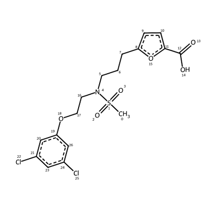 CS(=O)(=O)N(CCCc1ccc(C(=O)O)o1)CCOc1cc(Cl)cc(Cl)c1